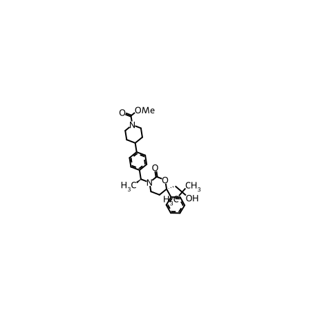 COC(=O)N1CCC(c2ccc([C@H](C)N3CC[C@](CC(C)(C)O)(c4ccccc4)OC3=O)cc2)CC1